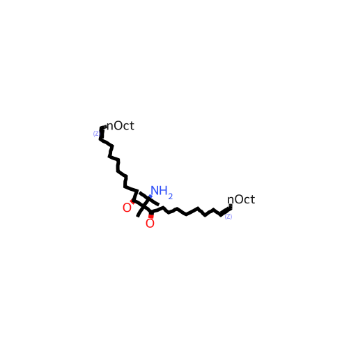 CCCCCCCC/C=C\CCCCCCCC(=O)C(C)(C(=O)CCCCCCC/C=C\CCCCCCCC)C(C)(C)N